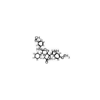 COc1cccc(NC(=O)[C@@H](C2CCCCC2)N(CC(=O)O)C(=O)C(=O)c2c[nH]c3cc(OC)ccc23)c1